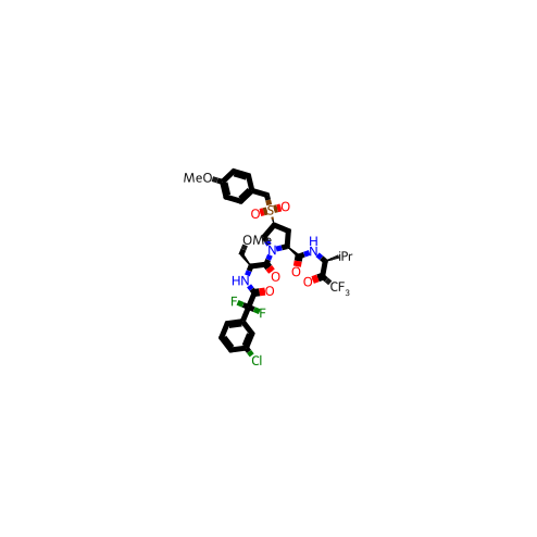 COC[C@H](NC(=O)C(F)(F)c1cccc(Cl)c1)C(=O)N1C[C@H](S(=O)(=O)Cc2ccc(OC)cc2)C[C@H]1C(=O)N[C@H](C(=O)C(F)(F)F)C(C)C